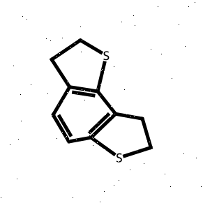 c1cc2c(c3c1CCS3)CCS2